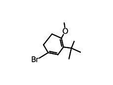 COC1=C(C(C)(C)C)C=C(Br)CC1